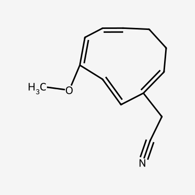 COC1=C/C=C/CC/C=C(CC#N)\C=C\1